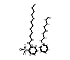 CCCCCCCCCCCCc1ccccc1S(=O)(=O)[O-].CCCCCCCC[n+]1ccccc1